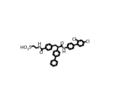 O=C(NCCS(=O)(=O)O)c1ccc(CC(C(=O)Nc2ccc(-c3ccc(Cl)cc3Cl)cc2)c2ccc(-c3ccccc3)cc2)cc1